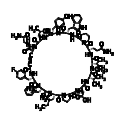 CCCC[C@H]1C(=O)N2CCC[C@@H]2C(=O)N[C@@H](CC(=O)O)C(=O)N[C@@H](C(C)C)C(=O)N(C)[C@@H](C(C)C)C(=O)N[C@@H](CCC(N)=O)C(=O)N2CCCC[C@@H]2C(=O)N[C@@H](Cc2c[nH]c3ccccc23)C(=O)N[C@@H](Cc2ccc(O)cc2)C(=O)N[C@@H](CC(C)C)C(=O)N[C@H](C(=O)NCC(N)=O)CSCC(=O)N[C@@H](Cc2ccc(F)cc2)C(=O)N(C)[C@@H](Cc2ccccc2)C(=O)N1C